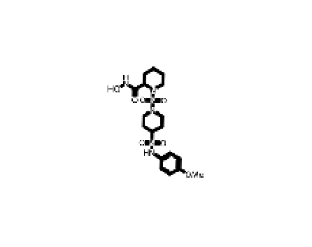 COc1ccc(NS(=O)(=O)C2CCN(S(=O)(=O)N3CCCCC3C(=O)NO)CC2)cc1